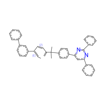 C=C(/C=C\C(=C/C)c1cccc(-c2ccccc2)c1)C(C)(C)c1ccc(-c2cc(-c3ccccc3)nc(-c3ccccc3)n2)cc1